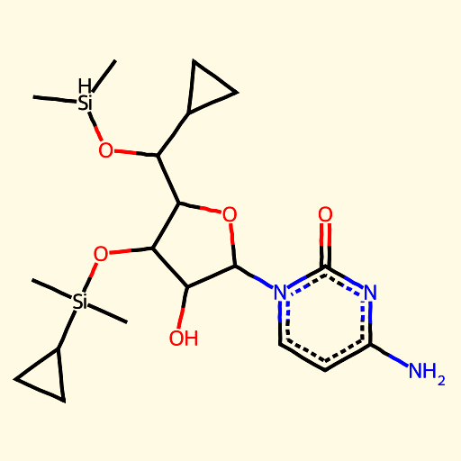 C[SiH](C)OC(C1CC1)C1OC(n2ccc(N)nc2=O)C(O)C1O[Si](C)(C)C1CC1